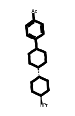 CCC[C@H]1CC[C@H](C2CCC(c3ccc(C(C)=O)cc3)CC2)CC1